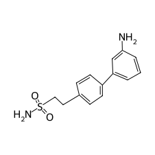 Nc1cccc(-c2ccc(CCS(N)(=O)=O)cc2)c1